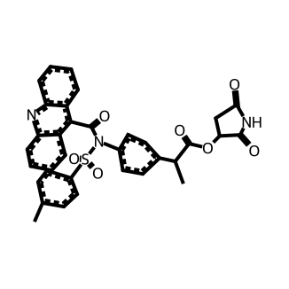 Cc1ccc(S(=O)(=O)N(C(=O)c2c3ccccc3nc3ccccc23)c2ccc(C(C)C(=O)OC3CC(=O)NC3=O)cc2)cc1